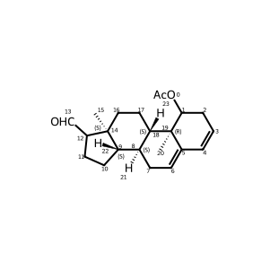 CC(=O)OC1CC=CC2=CC[C@H]3[C@@H]4CCC(C=O)[C@@]4(C)CC[C@@H]3[C@]21C